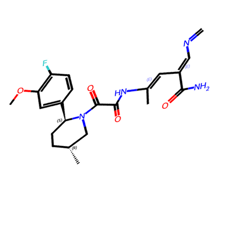 C=N/C=C(\C=C(/C)NC(=O)C(=O)N1C[C@H](C)CC[C@H]1c1ccc(F)c(OC)c1)C(N)=O